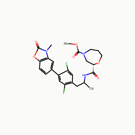 Cn1c(=O)oc2ccc(-c3cc(F)c(CC(C#N)NC(=O)[C@@H]4CN(C(=O)OC(C)(C)C)CCCO4)cc3F)cc21